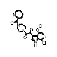 COc1cnc(Cl)c2[nH]cc(C(=O)C(=O)N3CCN(C(=O)c4ccccn4)CC3)c12